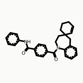 O=C(Nc1ccccc1)c1ccc(C(=O)N2CCC3(C=CCCC3)Cc3ccccc32)cc1